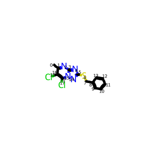 Cc1nc2nc(SCc3ccccc3)nn2c(Cl)c1Cl